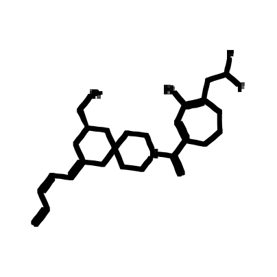 C=C/C=C\C=C1/C[C@@H](CC(C)C)CC2(CCN(C(=C)C3=CC(CC)=C(CC(F)F)CCC3)CC2)C1